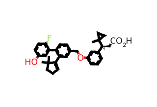 CC1(C)CCC=C1c1cc(COc2cccc([C@H](CC(=O)O)C3(C)CC3)c2)ccc1-c1cc(O)ccc1F